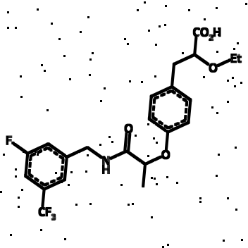 CCOC(Cc1ccc(OC(C)C(=O)NCc2cc(F)cc(C(F)(F)F)c2)cc1)C(=O)O